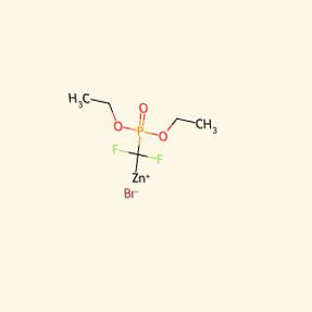 CCOP(=O)(OCC)[C](F)(F)[Zn+].[Br-]